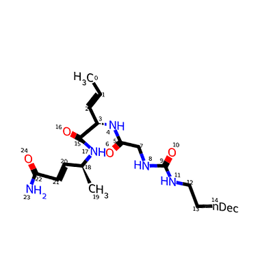 C/C=C/[C@H](NC(=O)CNC(=O)NCCCCCCCCCCCC)C(=O)N[C@@H](C)/C=C/C(N)=O